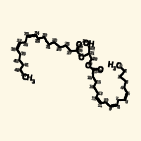 CCCCC/C=C\C/C=C\C/C=C\CCCCC(=O)OC[C@H](CO)OC(=O)CCCCCCC/C=C\C/C=C\CCCCC